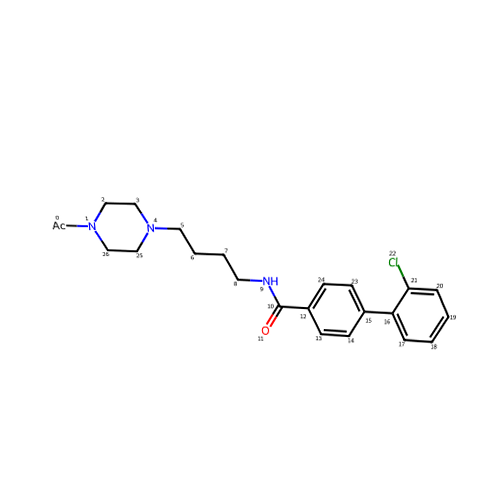 CC(=O)N1CCN(CCCCNC(=O)c2ccc(-c3ccccc3Cl)cc2)CC1